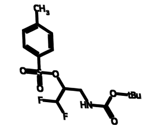 Cc1ccc(S(=O)(=O)OC(CNC(=O)OC(C)(C)C)C(F)F)cc1